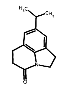 CC(C)c1cc2c3c(c1)CCN3C(=O)CC2